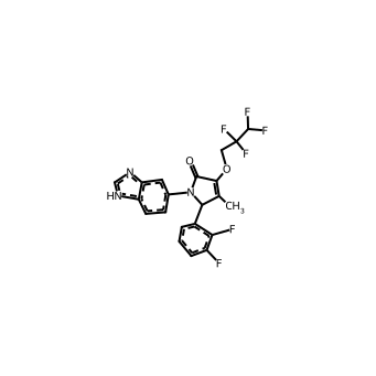 CC1=C(OCC(F)(F)C(F)F)C(=O)N(c2ccc3[nH]cnc3c2)C1c1cccc(F)c1F